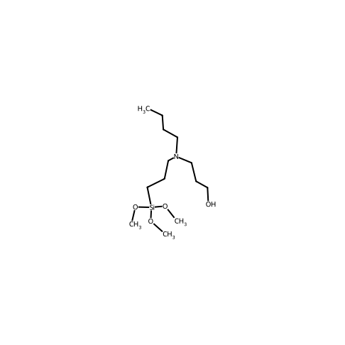 CCCCN(CCCO)CCC[Si](OC)(OC)OC